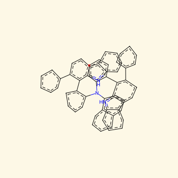 c1ccc(-c2ccc3c([nH]c4ccccc43)c2-c2ccccc2N(c2ccccc2-c2c(-c3ccccc3)ccc3c2[nH]c2ccccc23)c2cccc3ccccc23)cc1